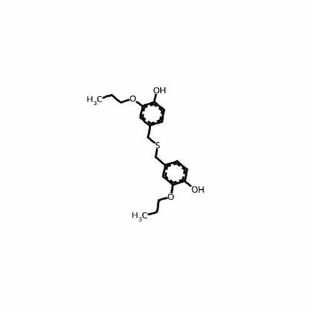 CCCOc1cc(CSCc2ccc(O)c(OCCC)c2)ccc1O